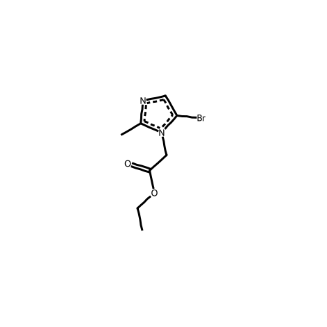 CCOC(=O)Cn1c(Br)cnc1C